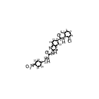 Cc1cccc(Cl)c1NC(=O)c1ccc2nc(NC(=O)NCCc3ccc([N+](=O)[O-])cc3)sc2c1